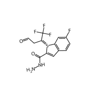 NNC(=O)C1=Cc2ccc(F)cc2/S1=C(/CC=O)C(F)(F)F